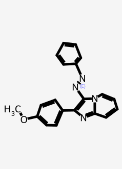 COc1ccc(-c2nc3ccccn3c2/N=N/c2ccccc2)cc1